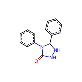 O=C1NNC(c2ccccc2)N1c1ccccc1